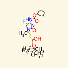 C[C@@H](CS[C@@H](O)CO[Si](C)(C)C(C)(C)C)n1cc(F)c(NC(=O)Oc2ccccc2)nc1=O